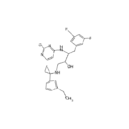 CCc1cccc(C2(NCC(O)C(Cc3cc(F)cc(F)c3)Nc3ccnc(Cl)n3)CC2)c1